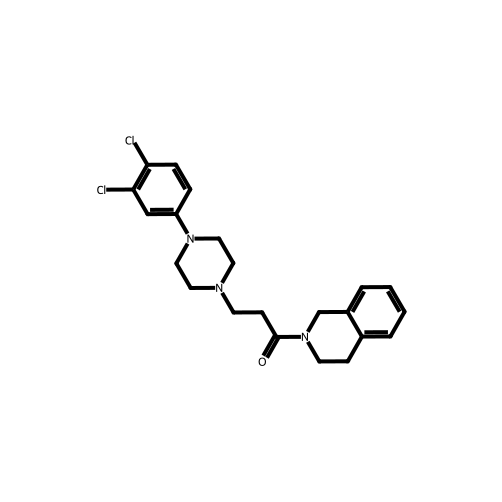 O=C(CCN1CCN(c2ccc(Cl)c(Cl)c2)CC1)N1CCc2ccccc2C1